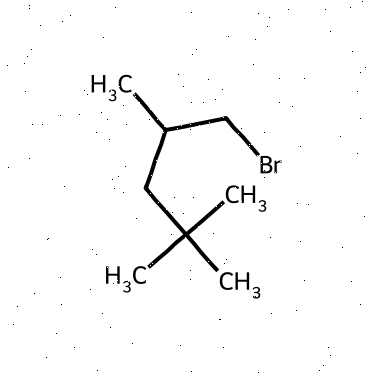 CC(CBr)CC(C)(C)C